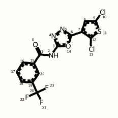 O=C(Nc1nnc(-c2cc(Cl)sc2Cl)o1)c1cccc(C(F)(F)F)c1